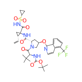 C=C[C@@H]1C[C@]1(NC(=O)[C@@H]1C[C@@H](Oc2nccc3c(C(F)(F)F)cccc23)CN1C(=O)[C@@H](NC(=O)OC(C)(C)C)C(C)(C)C)C(=O)NS(=O)(=O)C1CC1